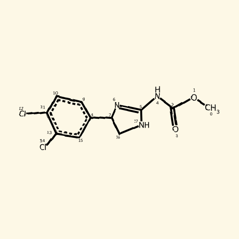 COC(=O)NC1=NC(c2ccc(Cl)c(Cl)c2)CN1